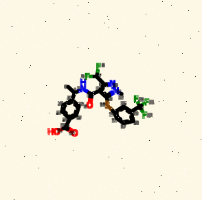 CC(NC(=O)c1c(C(F)F)nn(C)c1Sc1cccc(C(F)(F)F)c1)c1ccc(C(=O)O)cc1